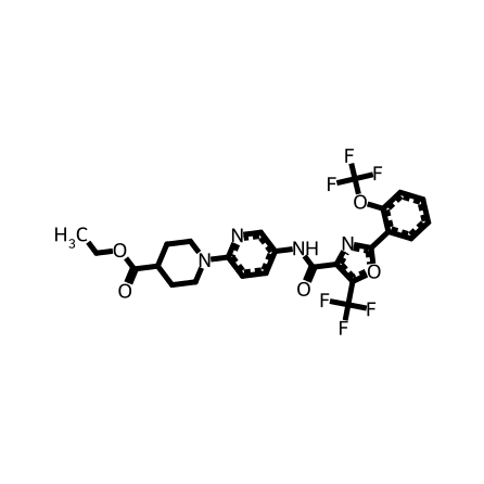 CCOC(=O)C1CCN(c2ccc(NC(=O)c3nc(-c4ccccc4OC(F)(F)F)oc3C(F)(F)F)cn2)CC1